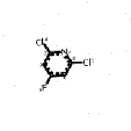 Fc1cc(Cl)nc(Cl)c1